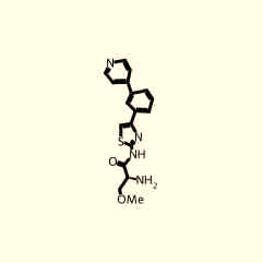 COC[C@H](N)C(=O)Nc1nc(-c2cccc(-c3ccncc3)c2)cs1